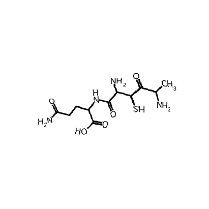 CC(N)C(=O)C(S)C(N)C(=O)NC(CCC(N)=O)C(=O)O